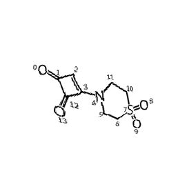 O=c1cc(N2CCS(=O)(=O)CC2)c1=O